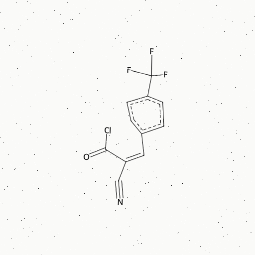 N#CC(=Cc1ccc(C(F)(F)F)cc1)C(=O)Cl